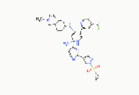 CN(C)CC1CCC(NC2=CC(N)(c3ccnc(-c4cnn(S(=O)(=O)C5CC5)c4)n3)NC=C2c2cc(C(F)F)ccn2)CC1